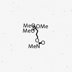 CNC(=O)OCCC[Si](OC)(OC)OC